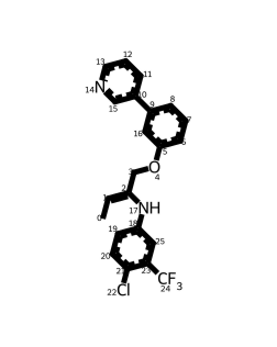 CC=C(COc1cccc(-c2cccnc2)c1)Nc1ccc(Cl)c(C(F)(F)F)c1